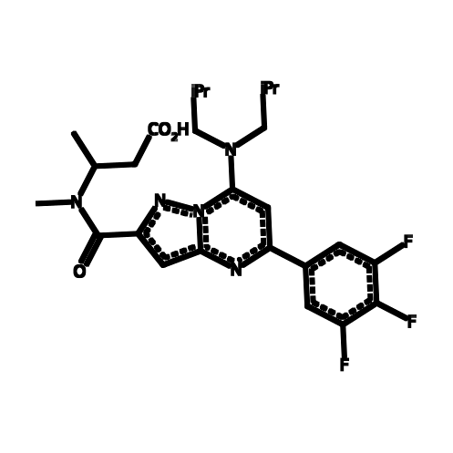 CC(C)CN(CC(C)C)c1cc(-c2cc(F)c(F)c(F)c2)nc2cc(C(=O)N(C)C(C)CC(=O)O)nn12